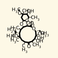 C=C(C)[C@@H]1[C@@H](C)[C@H](O[C@H]2C[C@@](C)(OC)[C@@H](O)[C@H](C)O2)[C@@H](C)C(=O)O[C@H](CC)[C@@](C)(O)[C@H](O)[C@@H](C)C(=O)[C@H](C)C[C@@]1(C)O